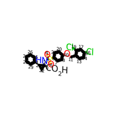 O=C(O)C1(NS(=O)(=O)c2ccc(OCc3ccc(Cl)cc3Cl)cc2)C[C@H]1c1ccccc1